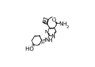 CC12CC(C1)N2c1nc(N[C@@H]2CCC[C@@H](O)C2)ncc1C(N)=O